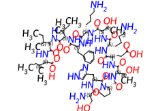 CC[C@H](C)[C@H](NC(=O)[C@@H](NC(=O)[C@@H](NC(=O)[C@H](Cc1ccccc1)NC(=O)[C@H](CCCCN)NC(=O)[C@@H](NC(=O)[C@H](CCCCN)NC(=O)[C@H](CCC(=O)O)NC(=O)[C@@H](NC(=O)[C@@H]1CCCN1C(=O)[C@H](Cc1c[nH]cn1)NC(=O)[C@@H](N)CO)[C@@H](C)O)[C@@H](C)O)[C@@H](C)CC)[C@@H](C)CC)C(=O)O